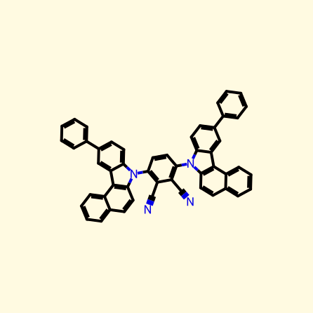 N#Cc1c(-n2c3ccc(-c4ccccc4)cc3c3c4ccccc4ccc32)ccc(-n2c3ccc(-c4ccccc4)cc3c3c4ccccc4ccc32)c1C#N